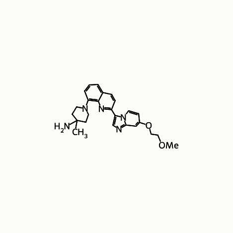 COCCOc1ccn2c(-c3ccc4cccc(N5CCC(C)(N)CC5)c4n3)cnc2c1